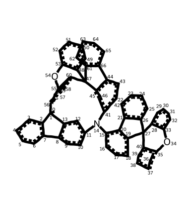 CC12c3ccccc3-c3ccc(cc31)N(c1cccc3c1-c1ccccc1C31c3ccccc3Oc3ccccc31)c1ccc3c(c1)C1(c4ccccc4Oc4c2cccc41)c1ccccc1-3